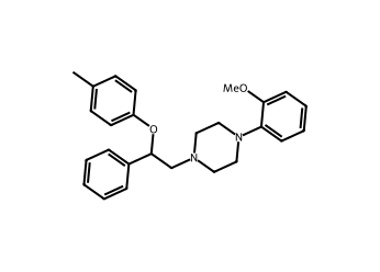 COc1ccccc1N1CCN(CC(Oc2ccc(C)cc2)c2ccccc2)CC1